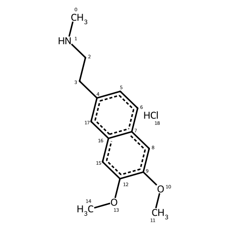 CNCCc1ccc2cc(OC)c(OC)cc2c1.Cl